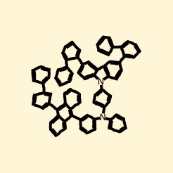 c1ccc(-c2cccc(-c3c4ccccc4c(-c4cccc(N(c5ccccc5)c5ccc(-n6c7ccc(-c8ccccc8-c8ccccc8)cc7c7cc(-c8ccccc8-c8ccccc8)ccc76)cc5)c4)c4ccccc34)c2)cc1